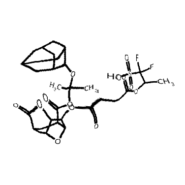 CC(OC(=O)CCC(=O)OC1C2OC(=O)C3C2OC1C3C(=O)OC(C)(C)OC1C2CC3CC(C2)CC1C3)C(F)(F)S(=O)(=O)O